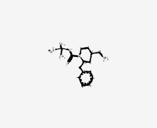 CC(C)(C)OC(=O)N1CCC(CN)CC1Cc1ccccc1